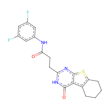 O=C(CCc1nc2sc3c(c2c(=O)[nH]1)CCCC3)Nc1cc(F)cc(F)c1